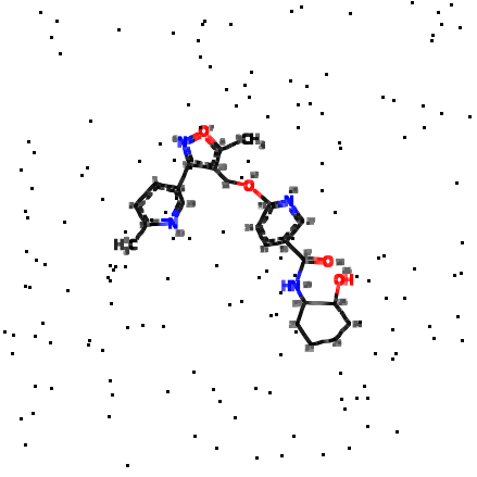 Cc1ccc(-c2noc(C)c2COc2ccc(C(=O)NC3CCCCC3O)cn2)cn1